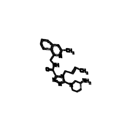 C/C=C/Cn1c(C(=O)NCc2nc(C)cc3ccccc23)nnc1N1CCCC(N)C1